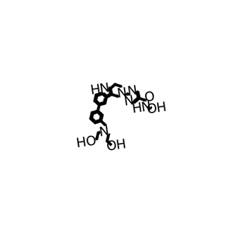 O=C(NO)c1cnc(N2CCc3[nH]c4ccc(-c5cccc(CN(CCO)CCO)c5)cc4c3C2)nc1